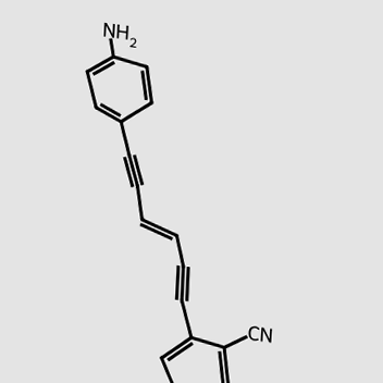 N#Cc1ccccc1C#C/C=C/C#Cc1ccc(N)cc1